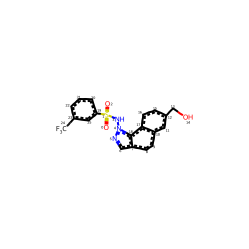 O=S(=O)(Nn1ncc2ccc3cc(CO)ccc3c21)c1cccc(C(F)(F)F)c1